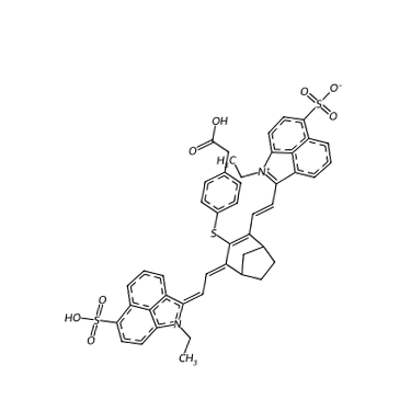 CCn1/c(=C/C=C2C(Sc3ccc(CC(=O)O)cc3)=C(/C=C/C3=[N+](CC)c4ccc(S(=O)(=O)[O-])c5cccc3c45)C3CCC/2C3)c2cccc3c(S(=O)(=O)O)ccc1c32